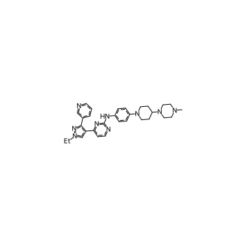 CCn1cc(-c2ccnc(Nc3ccc(N4CCC(N5CCN(C)CC5)CC4)cc3)n2)c(-c2cccnc2)n1